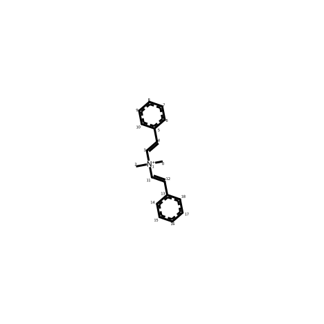 C[N+](C)(C=Cc1ccccc1)C=Cc1ccccc1